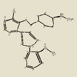 O=C(O)N[C@H]1CC[C@@H](COc2c(Cl)ncnc2-c2cnn(-c3ccccc3OC(F)(F)F)c2)CC1